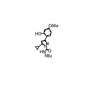 CCCCNC(=O)n1nc(-c2ccc(OC)cc2O)cc1C1CC1